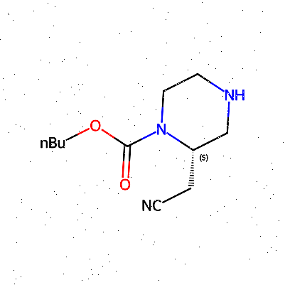 CCCCOC(=O)N1CCNC[C@@H]1CC#N